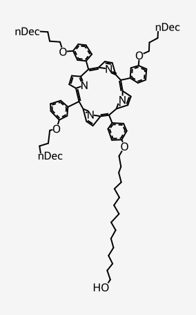 CCCCCCCCCCCCCOc1cccc(C2=C3C=CC(=N3)C(c3cccc(OCCCCCCCCCCCCC)c3)=C3C=CC(=N3)C(c3cccc(OCCCCCCCCCCCCC)c3)=C3C=CC(=N3)C(c3ccc(OCCCCCCCCCCCCCCCCO)cc3)=C3C=CC2=N3)c1